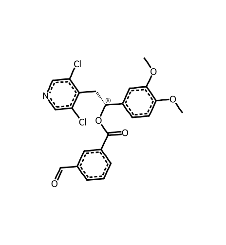 COc1ccc([C@@H](Cc2c(Cl)cncc2Cl)OC(=O)c2cccc(C=O)c2)cc1OC